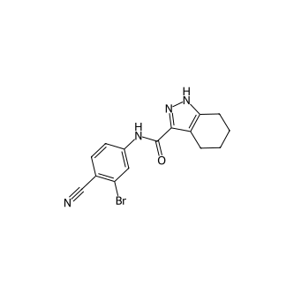 N#Cc1ccc(NC(=O)c2n[nH]c3c2CCCC3)cc1Br